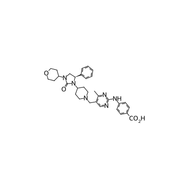 Cc1nc(Nc2ccc(C(=O)O)cc2)ncc1CN1CCC(N2C(=O)N(C3CCOCC3)C[C@H]2c2ccccc2)CC1